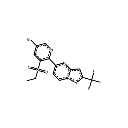 CCS(=O)(=O)c1cc(Br)cnc1-c1ccn2nc(C(F)(F)F)cc2n1